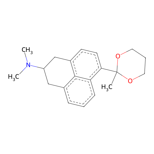 CN(C)C1Cc2cccc3c(C4(C)OCCCO4)ccc(c23)C1